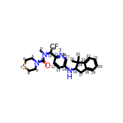 CN(C(=O)N1CCSCC1)C(c1ccc(NC2Cc3ccccc3C2(C)C)cn1)C(F)(F)F